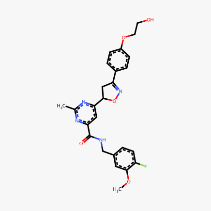 COc1cc(CNC(=O)c2cc(C3CC(c4ccc(OCCO)cc4)=NO3)nc(C)n2)ccc1F